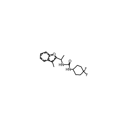 Cc1c(C(C)NC(=O)NC2CCC(F)(F)CC2)oc2ccccc12